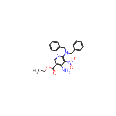 CCOC(=O)c1cnc(N(Cc2ccccc2)Cc2ccccc2)c([N+](=O)[O-])c1N